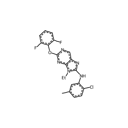 CCn1c(Nc2cc(C)ccc2Cl)nc2cnc(Oc3c(F)cccc3F)nc21